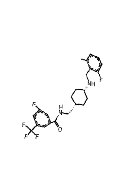 Cc1cccc(F)c1CN[C@H]1CC[C@@H](CNC(=O)c2cc(F)cc(C(F)(F)F)c2)CC1